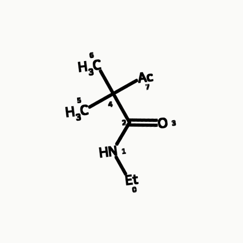 CCNC(=O)C(C)(C)C(C)=O